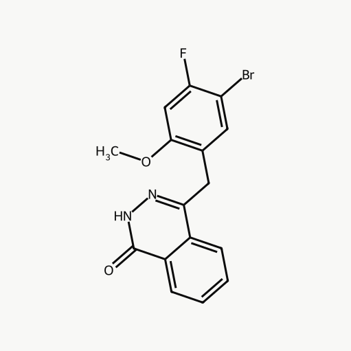 COc1cc(F)c(Br)cc1Cc1n[nH]c(=O)c2ccccc12